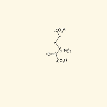 N[C@@H](CCC(=O)O)C(=O)C(=O)O